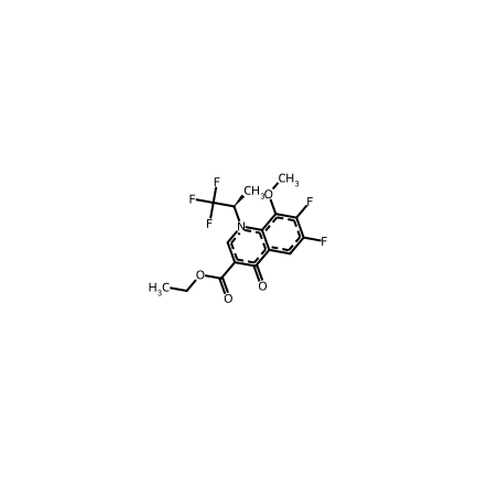 CCOC(=O)c1cn([C@H](C)C(F)(F)F)c2c(OC)c(F)c(F)cc2c1=O